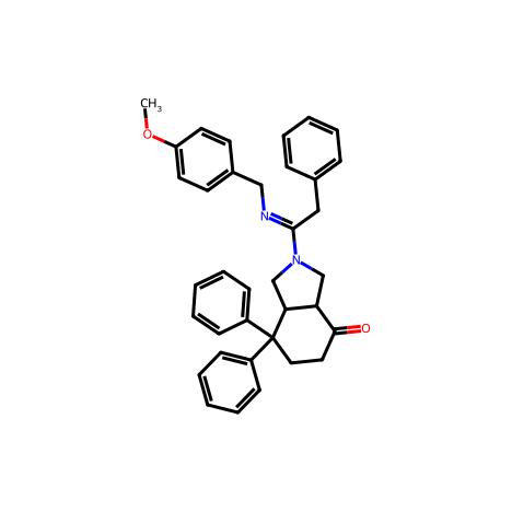 COc1ccc(CN=C(Cc2ccccc2)N2CC3C(=O)CCC(c4ccccc4)(c4ccccc4)C3C2)cc1